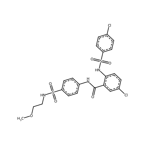 COCCNS(=O)(=O)c1ccc(NC(=O)c2cc(Cl)ccc2NS(=O)(=O)c2ccc(Cl)cc2)cc1